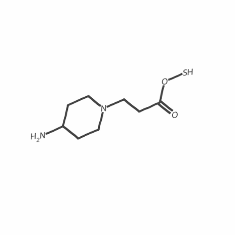 NC1CCN(CCC(=O)OS)CC1